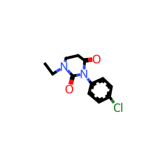 CCN1CCC(=O)N(c2ccc(Cl)cc2)C1=O